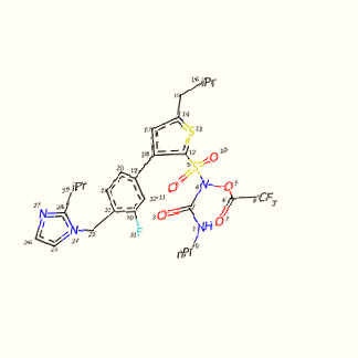 CCCNC(=O)N(OC(=O)C(F)(F)F)S(=O)(=O)c1sc(CC(C)C)cc1-c1ccc(Cn2ccnc2C(C)C)c(F)c1